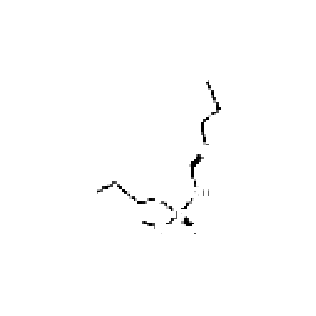 CCC/N=C/NP(=S)(OC)SCCC